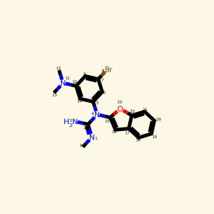 CN=C(N)N(c1cc(Br)cc(N(C)C)c1)c1cc2ccccc2o1